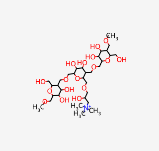 COCC1OC(CO)C(COCC2OC(COCC(O)C[N+](C)(C)C)C(COCC3OC(CO)C(COC)C(O)C3O)C(O)C2O)C(O)C1O